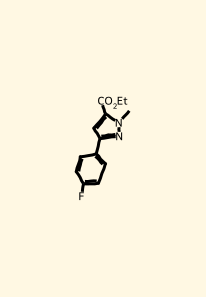 CCOC(=O)c1cc(-c2ccc(F)cc2)nn1C